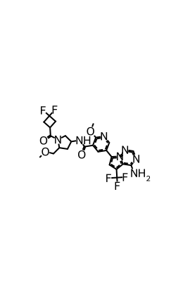 COCC1CC(NC(=O)c2cc(-c3cc(C(F)(F)F)c4c(N)ncnn34)cnc2OC)CN1C(=O)C1CC(F)(F)C1